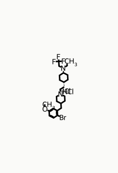 CCN(CC(F)(F)F)[C@H]1CC[C@H](CCN2CCC(Cc3cc(OC)ccc3Br)CC2)CC1.Cl.Cl